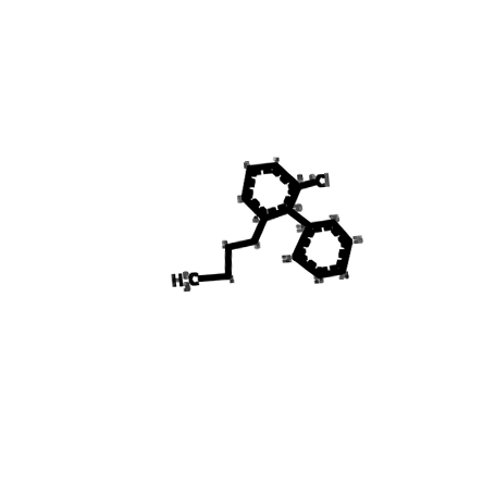 CCCCc1cccc(Cl)c1-c1ccccc1